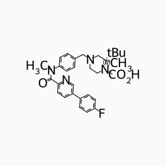 CN(C(=O)c1ccc(-c2ccc(F)cc2)cn1)c1ccc(CN2CCN(C(=O)O)[C@@](C)(C(C)(C)C)C2)cc1